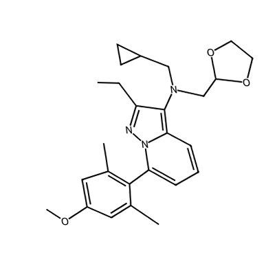 CCc1nn2c(-c3c(C)cc(OC)cc3C)cccc2c1N(CC1CC1)CC1OCCO1